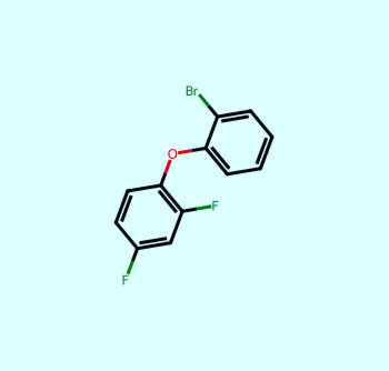 Fc1ccc(Oc2ccccc2Br)c(F)c1